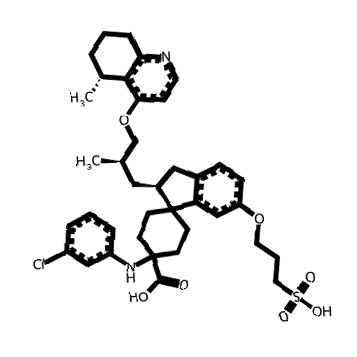 C[C@@H](COc1ccnc2c1[C@H](C)CCC2)C[C@H]1Cc2ccc(OCCCS(=O)(=O)O)cc2C12CCC(Nc1cccc(Cl)c1)(C(=O)O)CC2